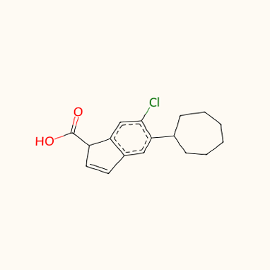 O=C(O)C1C=Cc2cc(C3CCCCCC3)c(Cl)cc21